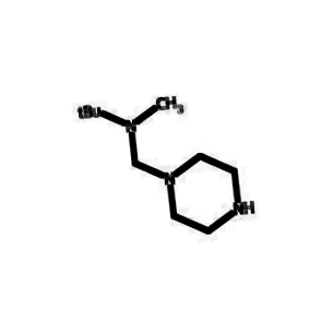 CN(CN1CCNCC1)C(C)(C)C